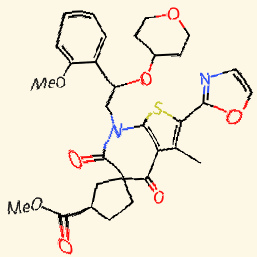 COC(=O)C1CCC2(C1)C(=O)c1c(sc(-c3ncco3)c1C)N(CC(OC1CCOCC1)c1ccccc1OC)C2=O